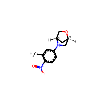 Cc1cc(N2C[C@H]3C[C@@H]2CO3)ccc1[N+](=O)[O-]